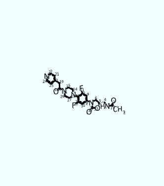 CC(=O)NC[C@H]1CN(c2cc(F)c(N3CCN(C(=O)Cc4ccncc4)CC3)c(F)c2)C(=O)O1